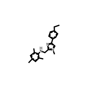 CCc1ccc(-c2cn(C)c(CNc3c(C)cc(C)cc3C)n2)cc1